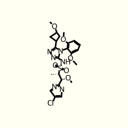 COc1cccc(OC)c1-n1c(NS(=O)(=O)[C@@H](C)[C@H](OC)c2ncc(Cl)cn2)nnc1C1CC(OC)C1